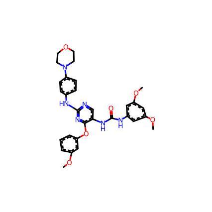 COc1cc(NC(=O)Nc2cnc(Nc3ccc(N4CCOCC4)cc3)nc2Oc2cccc(OC)c2)cc(OC)c1